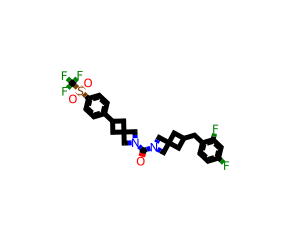 O=C(N1CC2(CC(Cc3ccc(F)cc3F)C2)C1)N1CC2(CC(c3ccc(S(=O)(=O)C(F)(F)F)cc3)C2)C1